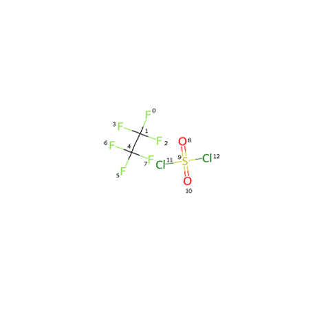 FC(F)(F)C(F)(F)F.O=S(=O)(Cl)Cl